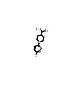 CCC(O)C1CCN(c2ccc(Cl)nn2)CC1